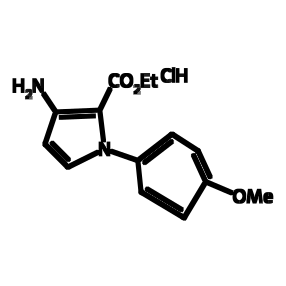 CCOC(=O)c1c(N)ccn1-c1ccc(OC)cc1.Cl